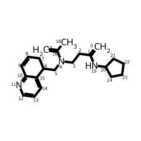 C=C(CCN(CC1CC=Cc2ncccc21)C(=C)C)NC1CCCC1